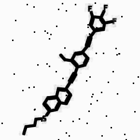 CCCCSc1ccc2cc(C#Cc3ccc(C#Cc4cc(F)c(F)c(F)c4)cc3CC)ccc2c1